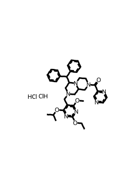 CCOc1nc(OC)c(CN2CC3CN(C(=O)c4cnccn4)CCN3C(C(c3ccccc3)c3ccccc3)C2)c(OC(C)C)n1.Cl.Cl